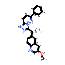 COc1cnc2ccc([C@@H](C)c3nnc4ccc(-c5ccccc5)nn34)cc2c1